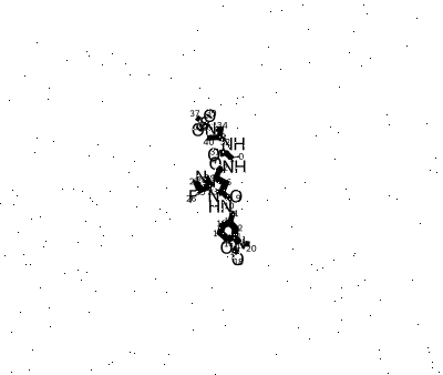 C[C@H](NC(=O)c1cc(C(=O)NCc2ccc3oc(=O)n(C)c3c2)nc2c(F)cnn12)C(=O)NC1CN(S(C)(=O)=O)C1